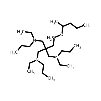 CCCC(C)O[SiH2]CC(CN(CC)CCC)(CN(CC)CCC)CN(CC)CCC